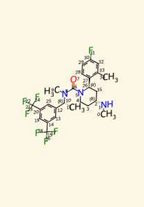 CN[C@@H]1CCN(C(=O)N(C)[C@H](C)c2cc(C(F)(F)F)cc(C(F)(F)F)c2)[C@@H](c2ccc(F)cc2C)C1